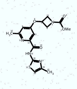 COC(=O)N1CC(Oc2cc(C)nc(C(=O)Nc3nc(C)cs3)c2)C1